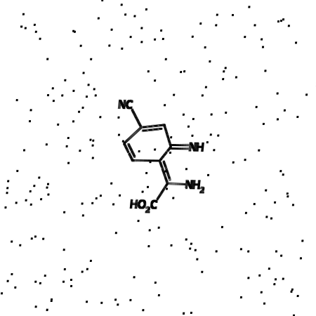 N#CC1=CC(=N)/C(=C(\N)C(=O)O)C=C1